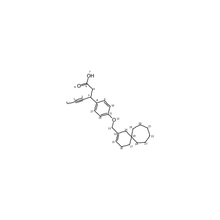 CC#CC(CC(=O)O)c1ccc(OCC2=CCCC3(CCCCCC3)C2)cc1